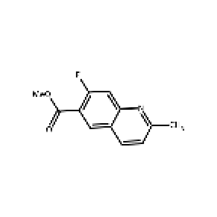 COC(=O)c1cc2ccc(C)nc2cc1F